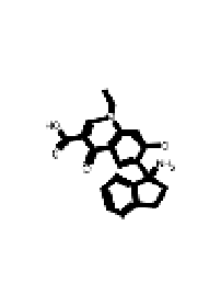 CCn1cc(C(=O)O)c(=O)c2cc(C3(N)CCc4ccccc43)c(Cl)cc21